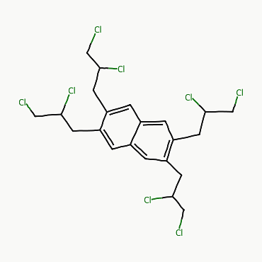 ClCC(Cl)Cc1cc2cc(CC(Cl)CCl)c(CC(Cl)CCl)cc2cc1CC(Cl)CCl